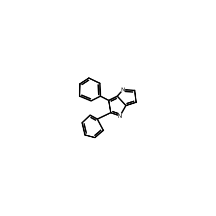 C1=NC2=C(c3ccccc3)C(c3ccccc3)=NC2=C1